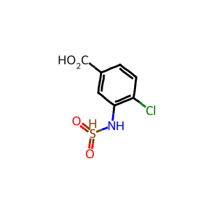 O=C(O)c1ccc(Cl)c(N[SH](=O)=O)c1